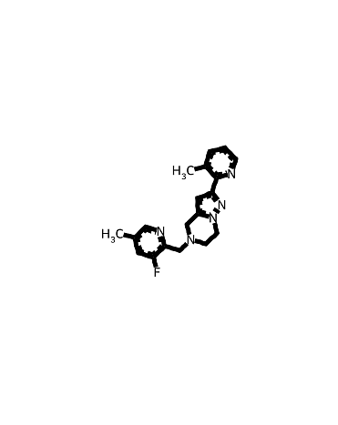 Cc1cnc(CN2CCn3nc(-c4ncccc4C)cc3C2)c(F)c1